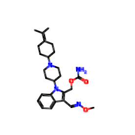 CON=Cc1c(COC(N)=O)n(C2CCN(C3CCC(=C(C)C)CC3)CC2)c2ccccc12